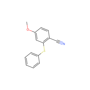 COc1ccc(C#N)c(Sc2ccccc2)c1